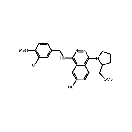 COCC1CCCN1c1nnc(NCc2ccc(OC)c(Cl)c2)c2cc(C#N)ccc12